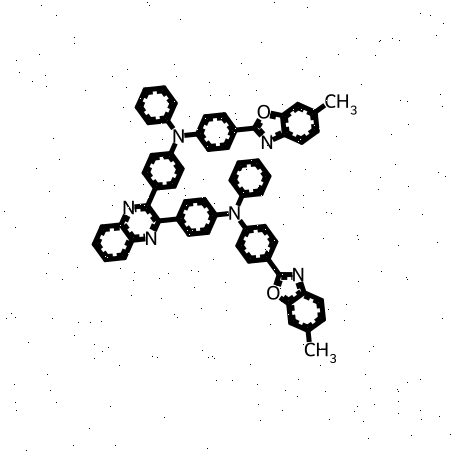 Cc1ccc2nc(-c3ccc(N(c4ccccc4)c4ccc(-c5nc6ccccc6nc5-c5ccc(N(c6ccccc6)c6ccc(-c7nc8ccc(C)cc8o7)cc6)cc5)cc4)cc3)oc2c1